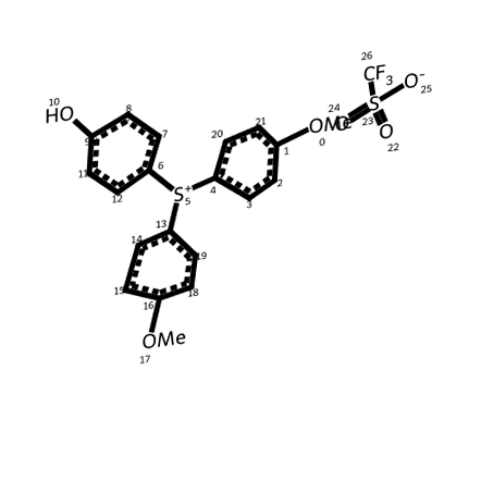 COc1ccc([S+](c2ccc(O)cc2)c2ccc(OC)cc2)cc1.O=S(=O)([O-])C(F)(F)F